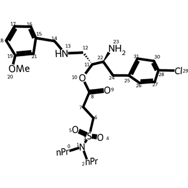 CCCN(CCC)S(=O)(=O)CCC(=O)O[C@H](CNCc1cccc(OC)c1)[C@@H](N)Cc1ccc(Cl)cc1